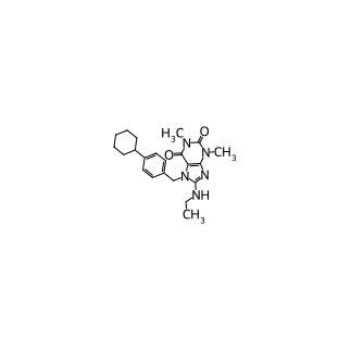 CCNc1nc2c(c(=O)n(C)c(=O)n2C)n1Cc1ccc(C2CCCCC2)cc1